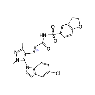 Cc1nn(C)c(-n2ccc3cc(Cl)ccc32)c1/C=C/C(=O)NS(=O)(=O)c1ccc2c(c1)CCO2